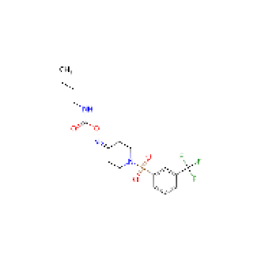 CCCCNC(=O)ON=C1CCN(S(=O)(=O)c2cccc(C(F)(F)F)c2)CC1